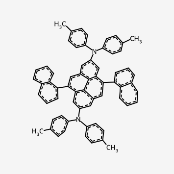 Cc1ccc(N(c2ccc(C)cc2)c2cc3cc(-c4cccc5ccccc45)c4cc(N(c5ccc(C)cc5)c5ccc(C)cc5)cc5cc(-c6cccc7ccccc67)c(c2)c3c54)cc1